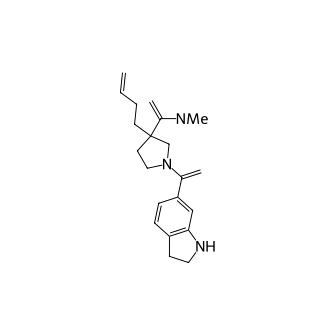 C=CCCC1(C(=C)NC)CCN(C(=C)c2ccc3c(c2)NCC3)C1